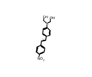 O=[N+]([O-])c1ccc(/C=C/c2ccc(N(CO)CO)cc2)cc1